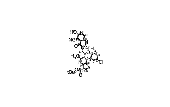 Cc1cc(-c2cc(Cl)ccc2OCCn2c(C)nc3cnc(O)c(C#N)c3c2=O)c2scc(C(=O)OC(C)(C)C)c2n1